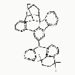 CC1(C)CCC(C)(C)c2c(N(c3ccccc3)c3cc(-c4ccccc4)c4c(c3)-c3ccccc3C43C4CC5CC6CC3C64C5)cccc21